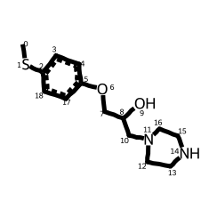 CSc1ccc(OCC(O)CN2CCNCC2)cc1